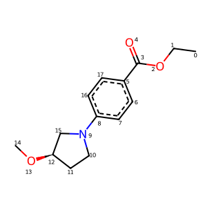 CCOC(=O)c1ccc(N2CC[C@@H](OC)C2)cc1